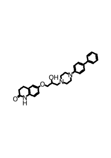 O=C1CCc2cc(OCC(O)CN3CCN(c4ccc(-c5ccccc5)cc4)CC3)ccc2N1